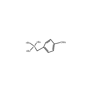 CCCC[N+](CCCC)(CCCC)Cc1ccc(OC)cc1